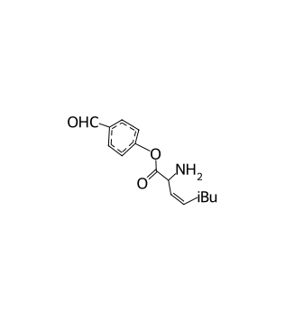 CCC(C)/C=C\C(N)C(=O)Oc1ccc(C=O)cc1